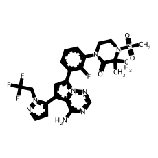 CC1(C)C(=O)N(c2cccc(-c3cc(-c4ccnn4CC(F)(F)F)c4c(N)ncnn34)c2F)CCN1S(C)(=O)=O